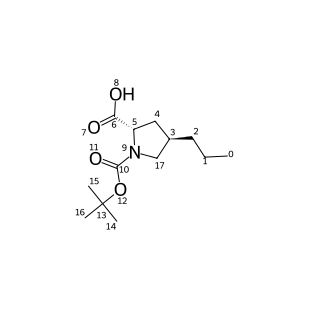 CCC[C@@H]1C[C@@H](C(=O)O)N(C(=O)OC(C)(C)C)C1